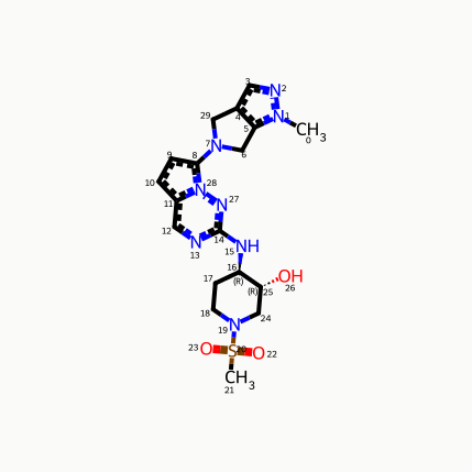 Cn1ncc2c1CN(c1ccc3cnc(N[C@@H]4CCN(S(C)(=O)=O)C[C@H]4O)nn13)C2